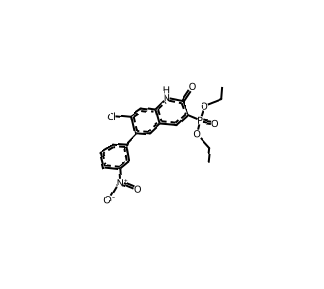 CCOP(=O)(OCC)c1cc2cc(-c3cccc([N+](=O)[O-])c3)c(Cl)cc2[nH]c1=O